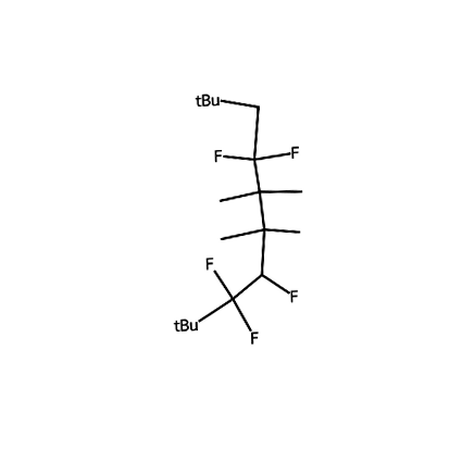 CC(C)(C)CC(F)(F)C(C)(C)C(C)(C)C(F)C(F)(F)C(C)(C)C